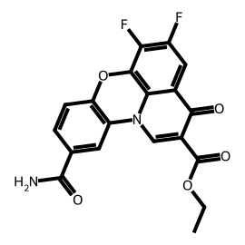 CCOC(=O)c1cn2c3c(c(F)c(F)cc3c1=O)Oc1ccc(C(N)=O)cc1-2